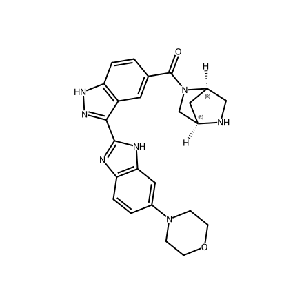 O=C(c1ccc2[nH]nc(-c3nc4ccc(N5CCOCC5)cc4[nH]3)c2c1)N1C[C@H]2C[C@@H]1CN2